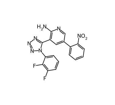 Nc1ncc(-c2ccccc2[N+](=O)[O-])cc1-c1nnnn1-c1cccc(F)c1F